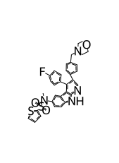 CN(c1ccc2[nH]c3ncc(-c4ccc(CN5CCOCC5)cc4)c(-c4ccc(F)cc4)c3c2c1)S(=O)(=O)c1cccs1